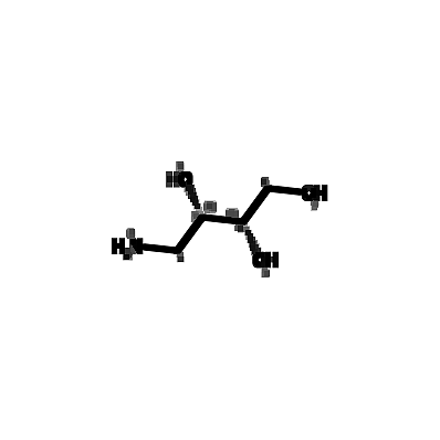 NC[C@H](O)[C@@H](O)CO